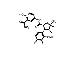 COc1c([C@H]2[C@@H](C(=O)Nc3cc[n+](O)c(C(N)=O)c3)O[C@@](C)(C(F)(F)F)[C@H]2C)ccc(F)c1F